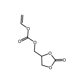 C=COC(=O)OCC1COC(=O)O1